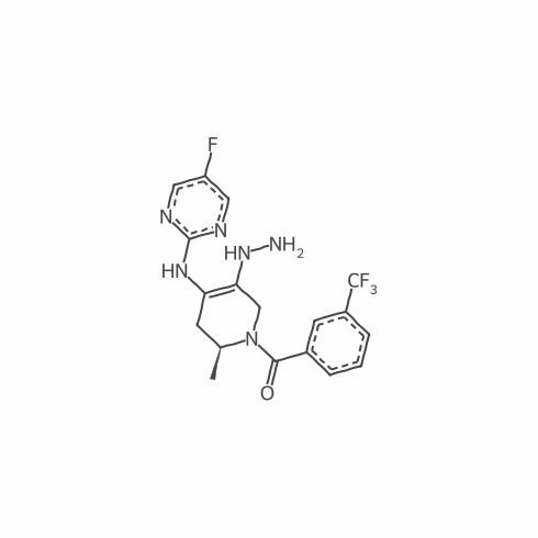 C[C@H]1CC(Nc2ncc(F)cn2)=C(NN)CN1C(=O)c1cccc(C(F)(F)F)c1